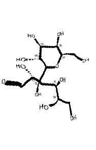 O=C[C@H](O)[C@](O)(C1O[C@H](CO)[C@H](O)[C@H](O)[C@H]1O)[C@@H](O)[C@H](O)CO